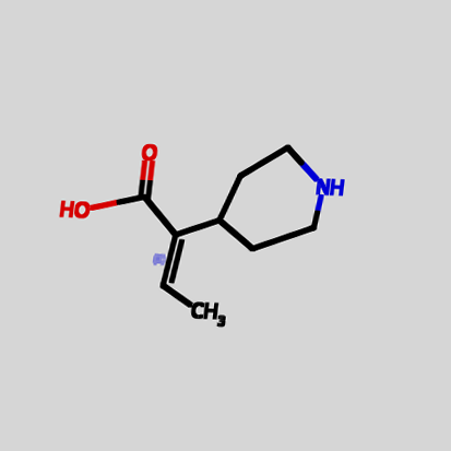 C/C=C(/C(=O)O)C1CCNCC1